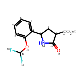 CCOC(=O)C1CC(c2ccccc2OC(F)F)NC1=O